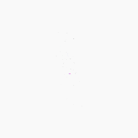 O=c1c2cc(Cl)c(c(=O)n1C(F)(F)C(F)(F)C(F)(F)CF)c1c3cc(Cl)c(c(=O)n(C(F)(F)C(F)(F)C(F)(F)CF)c3=O)c21